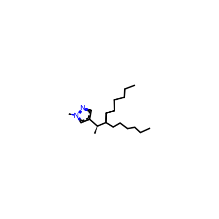 CCCCCCC(CCCCCC)[C@@H](C)c1cnn(C)c1